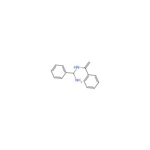 C=C(NC(N)c1ccccc1)c1ccccc1